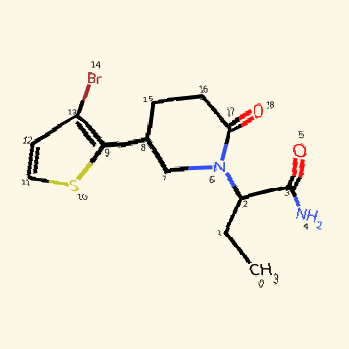 CCC(C(N)=O)N1CC(c2sccc2Br)CCC1=O